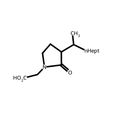 CCCCCCCC(C)C1CCN(CC(=O)O)C1=O